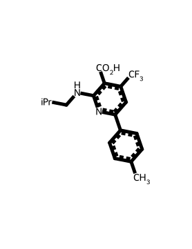 Cc1ccc(-c2cc(C(F)(F)F)c(C(=O)O)c(NCC(C)C)n2)cc1